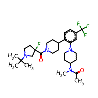 CC(=O)N(C)C1CCN(c2cc(C(F)(F)F)ccc2C2CCN(C(=O)[C@@]3(F)CCN(C(C)(C)C)C3)CC2)CC1